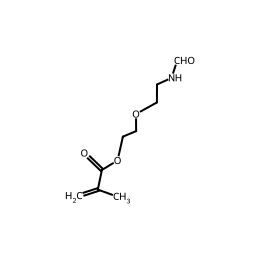 C=C(C)C(=O)OCCOCCNC=O